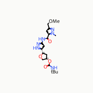 COCc1cc(C(=O)Nc2cc([C@@H]3C[C@H](OC(=O)NC(C)(C)C)CO3)[nH]n2)n(C)n1